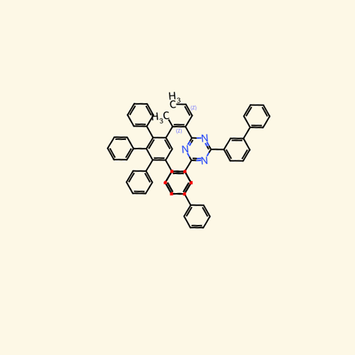 C/C=C\C(=C(/C)c1cc(-c2ccccc2)c(-c2ccccc2)c(-c2ccccc2)c1-c1ccccc1)c1nc(-c2cccc(-c3ccccc3)c2)nc(-c2cccc(-c3ccccc3)c2)n1